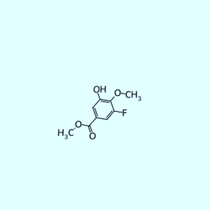 COC(=O)c1cc(O)c(OC)c(F)c1